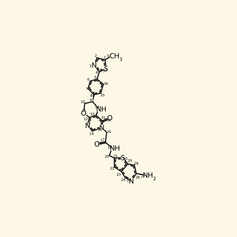 Cc1cnc(-c2ccc([C@@H]3COc4ncn(CC(=O)NCc5cc6cnc(N)cc6s5)c(=O)c4N3)cc2)s1